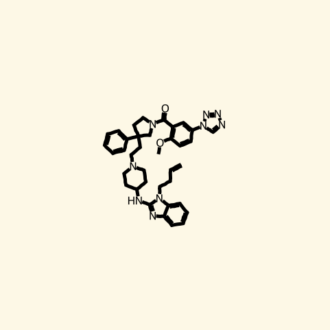 C=CCCn1c(NC2CCN(CCC3(c4ccccc4)CCN(C(=O)c4cc(-n5cnnn5)ccc4OC)C3)CC2)nc2ccccc21